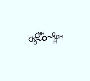 O=C(/C=C/c1ccc(/C=C/C(=O)[N+]2(C3CCNCC3)CCCCC2)cc1)NO